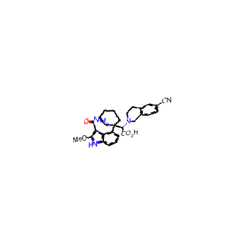 COc1[nH]c2cccc(C3(C(C(=O)O)N4CCc5cc(C#N)ccc5C4)CCCCC3)c2c1C(N)=O